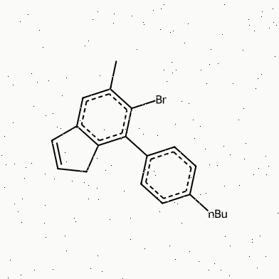 CCCCc1ccc(-c2c(Br)c(C)cc3c2CC=C3)cc1